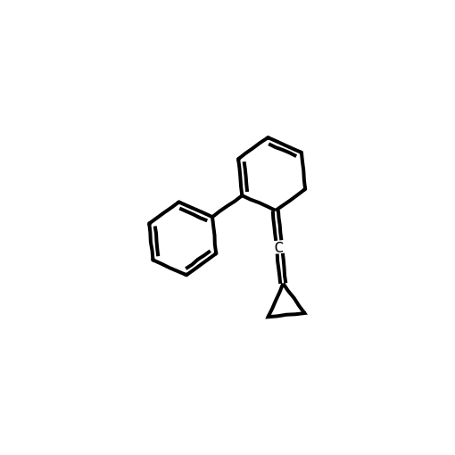 C(=C1CC1)=C1CC=CC=C1c1ccccc1